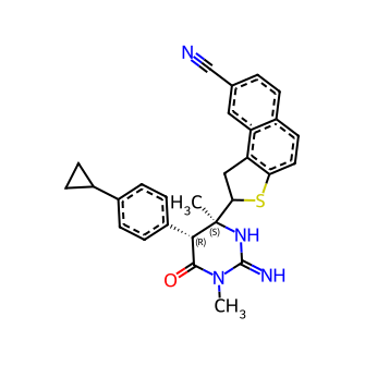 CN1C(=N)N[C@](C)(C2Cc3c(ccc4ccc(C#N)cc34)S2)[C@@H](c2ccc(C3CC3)cc2)C1=O